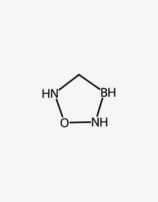 B1CNON1